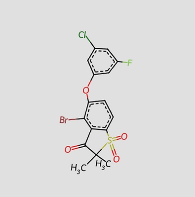 CC1(C)C(=O)c2c(ccc(Oc3cc(F)cc(Cl)c3)c2Br)S1(=O)=O